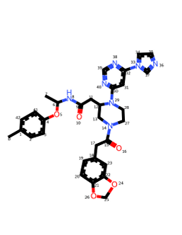 Cc1ccc(OC(C)NC(=O)CC2CN(C(=O)Cc3ccc4c(c3)OCO4)CCN2c2cc(-n3ccnc3)ncn2)cc1